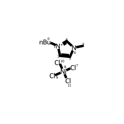 CCCC[n+]1ccn(C)c1.[Cl][Ni]([Cl])([Cl])[Cl]